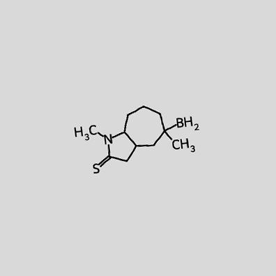 BC1(C)CCCC2C(CC(=S)N2C)C1